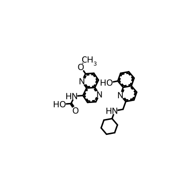 COc1ccc2nccc(NC(=O)O)c2n1.Oc1cccc2ccc(CNC3CCCCC3)nc12